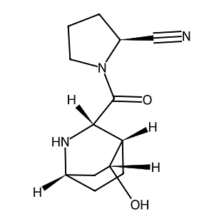 N#C[C@@H]1CCCN1C(=O)[C@H]1N[C@H]2CC[C@@H]1[C@H](O)C2